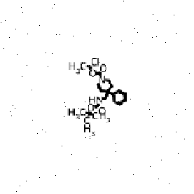 CC(Cl)OC(=O)N1CCC(CNC(=O)OC(C)(C)C)(c2ccccc2)CC1